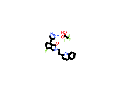 O=C(O)C(F)(F)F.O=C1c2c(-c3cn[nH]c3)ccc(F)c2CN1CCc1ccc2ccccc2n1